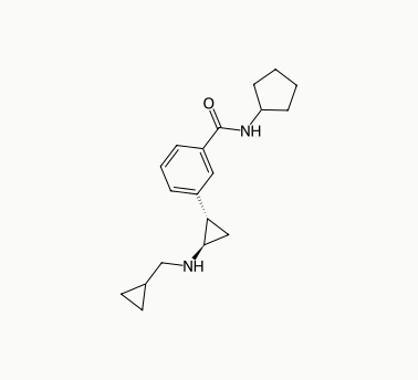 O=C(NC1CCCC1)c1cccc([C@@H]2C[C@H]2NCC2CC2)c1